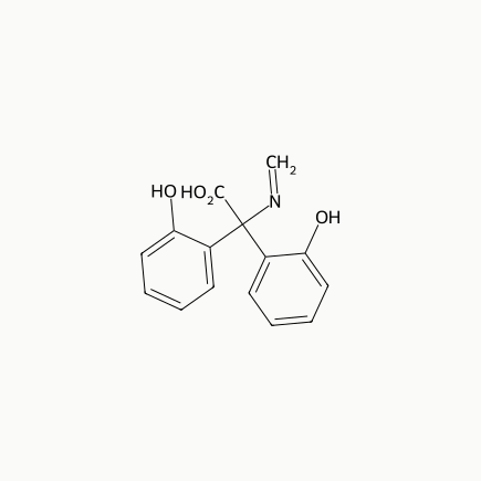 C=NC(C(=O)O)(c1ccccc1O)c1ccccc1O